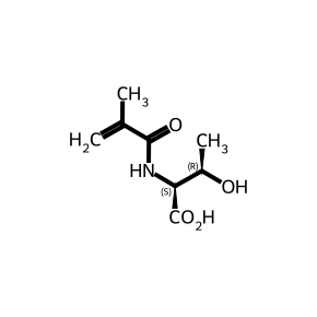 C=C(C)C(=O)N[C@H](C(=O)O)[C@@H](C)O